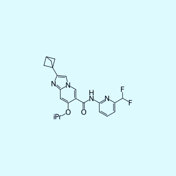 CC(C)Oc1cc2nc(C34CC(C3)C4)cn2cc1C(=O)Nc1cccc(C(F)F)n1